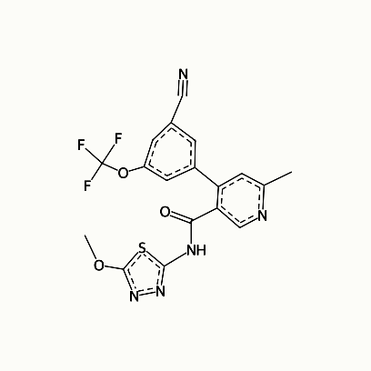 COc1nnc(NC(=O)c2cnc(C)cc2-c2cc(C#N)cc(OC(F)(F)F)c2)s1